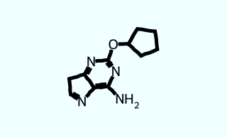 Nc1nc(OC2CCCC2)nc2c1N=CC2